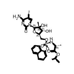 CC(C)OC(=O)[C@@H](C)N[P@@](=O)(OC[C@H]1O[C@@H](n2cc(I)c(N)nc2=O)[C@](C)(O)[C@@H]1O)Oc1cccc2ccccc12